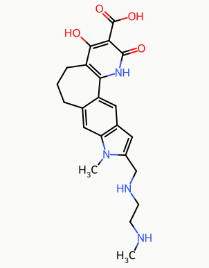 CNCCNCc1cc2cc3c(cc2n1C)CCCc1c-3[nH]c(=O)c(C(=O)O)c1O